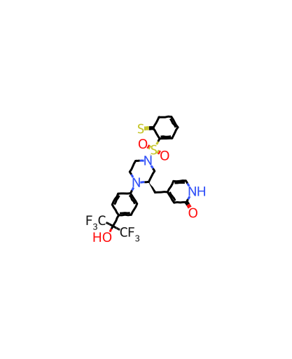 O=c1cc(C[C@@H]2CN(S(=O)(=O)C3=CC=CCC3=S)CCN2c2ccc(C(O)(C(F)(F)F)C(F)(F)F)cc2)cc[nH]1